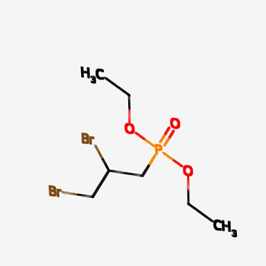 CCOP(=O)(CC(Br)CBr)OCC